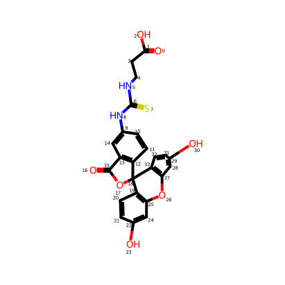 O=C(O)CCNC(=S)Nc1ccc2c(c1)C(=O)OC21c2ccc(O)cc2Oc2cc(O)ccc21